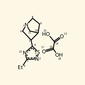 CCc1nsc(C2CN3CCC2C3)n1.O=C(O)C(=O)O